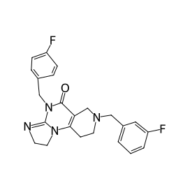 O=C1C2=C(CCN(Cc3cccc(F)c3)C2)N2CCN=C2N1Cc1ccc(F)cc1